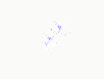 N#Cc1cccc(-c2cc(-c3nc(-c4ccccc4)nc(-c4cccc(-c5cc(C#N)cc(-c6cc(Nc7ccccc7-c7ccc(-c8ccccc8)cc7)cc(-c7nc(-c8ccccc8)nc(-c8ccccc8)n7)c6)c5)c4)n3)cc(-n3c4ccccc4c4ccc(-c5ccc(-c6ccccc6)cc5)cc43)c2)c1